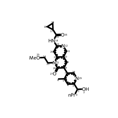 CCCC(O)c1cc(C)c(-c2cc3cnc(NC(=O)C4CC4)cc3n(CCOC)c2=O)cn1